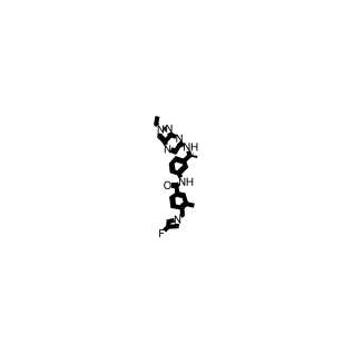 CCn1cc2ncc(N[C@@H](C)c3cccc(NC(=O)c4ccc(CN5CC(F)C5)c(C)c4)c3)nc2n1